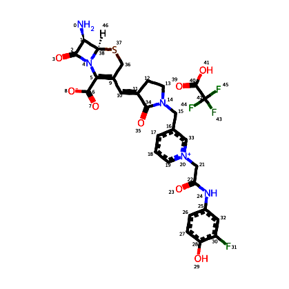 N[C@@H]1C(=O)N2C(C(=O)[O-])=C(/C=C3\CCN(Cc4ccc[n+](CC(=O)Nc5ccc(O)c(F)c5)c4)C3=O)CS[C@H]12.O=C(O)C(F)(F)F